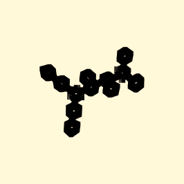 c1ccc(-c2ccc(-c3nc(-c4ccc(-c5ccccc5)cc4)nc(-c4ccc(-c5ccc(-c6nc(-c7ccccc7)cc(-c7ccccc7)n6)c6ccccc56)c5ccccc45)n3)cc2)cc1